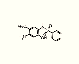 COc1cc(NS(=O)(=O)c2ccccc2)c(O)cc1N